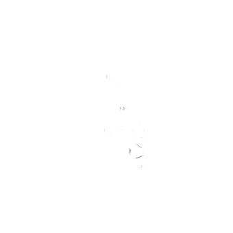 CCOCCNCCC(C)CC1(c2ccc(C)cc2)CCCC1